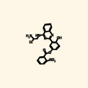 CCC(N)CNc1nc(-c2cc(OC(=O)c3ccccc3[N+](=O)[O-])ccc2O)nc2ccccc12